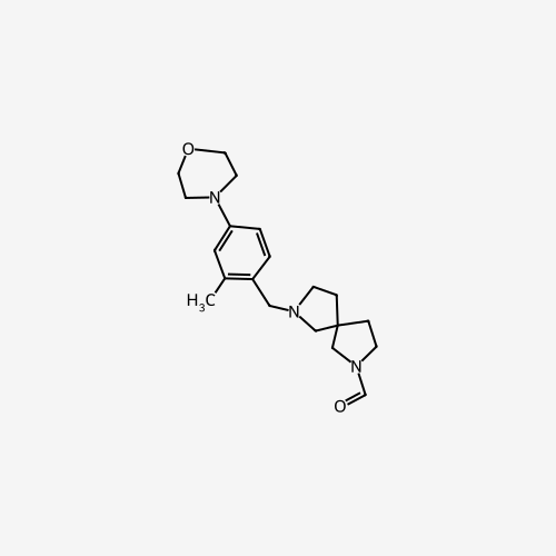 Cc1cc(N2CCOCC2)ccc1CN1CCC2(CCN(C=O)C2)C1